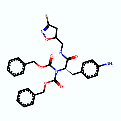 Nc1ccc(C[C@@H](C(=O)NCC2CC(Br)=NO2)N(C(=O)OCc2ccccc2)C(=O)OCc2ccccc2)cc1